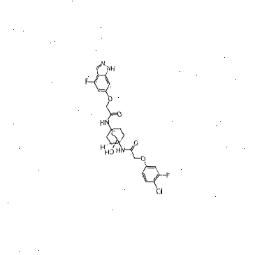 O=C(COc1cc(F)c2cn[nH]c2c1)NC12CCC(NC(=O)COc3ccc(Cl)c(F)c3)(CC1)[C@@H](O)C2